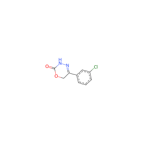 O=C1NN=C(c2cccc(Cl)c2)CO1